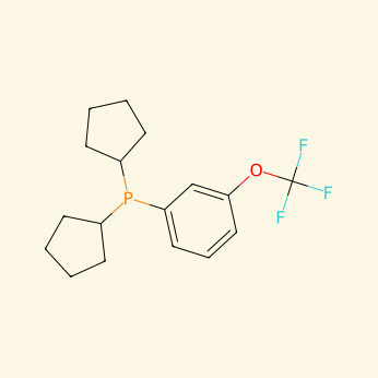 FC(F)(F)Oc1cccc(P(C2CCCC2)C2CCCC2)c1